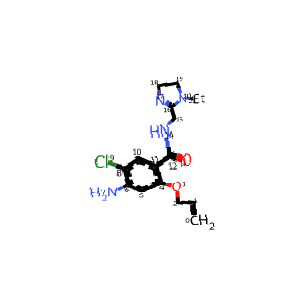 C=CCOc1cc(N)c(Cl)cc1C(=O)NCC1=NCCN1CC